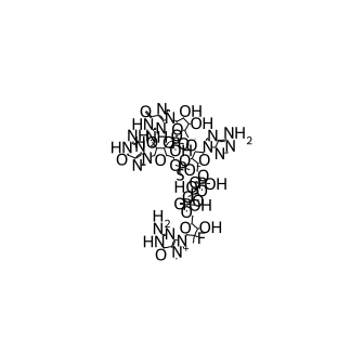 COC1C(OP([O-])(=S)OCC2OC(n3cnc4c(=O)[nH]c(N)nc43)C(O)C2OP(=O)(O)OCC2OC(n3cnc4c(=O)[nH]c(N)nc43)C(O)C2O)C(COP(=O)(O)OP(=O)(O)OP(=O)(O)OCC2OC(n3c[n+](C)c4c(=O)[nH]c(N)nc43)C(C)(F)C2O)OC1n1cnc2c(N)ncnc21